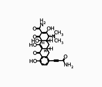 CN(C)[C@@H]1C(O)=C(C(N)=O)C(=O)[C@@]2(O)C(O)=C3C(=O)c4c(O)ccc(C#CC(N)=O)c4C[C@H]3C[C@@H]12